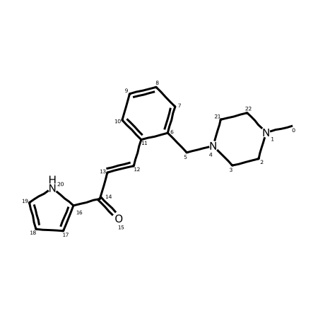 CN1CCN(Cc2ccccc2C=CC(=O)c2ccc[nH]2)CC1